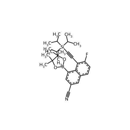 CC(C)[Si](C#Cc1c(F)ccc2cc(C#N)cc(B3OC(C)(C)C(C)(C)O3)c12)(C(C)C)C(C)C